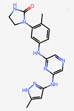 Cc1cc(Nc2cncc(Nc3ccc(C)c(N4CCNC4=O)c3)n2)n[nH]1